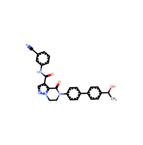 CC(O)c1ccc(-c2ccc(N3CCn4ncc(C(=O)Nc5cccc(C#N)c5)c4C3=O)cc2)cc1